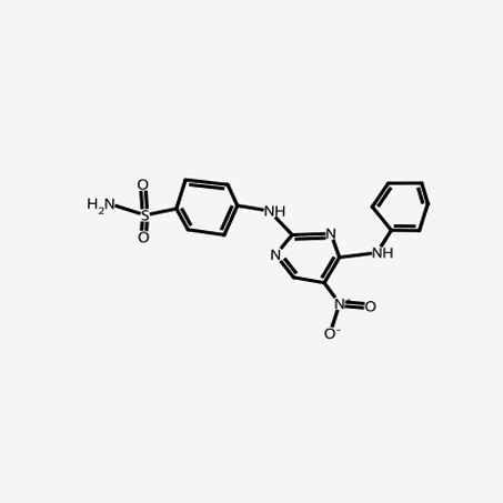 NS(=O)(=O)c1ccc(Nc2ncc([N+](=O)[O-])c(Nc3ccccc3)n2)cc1